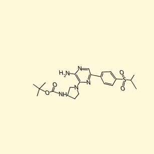 CC(C)S(=O)(=O)c1ccc(-c2cnc(N)c(N3CCC(NC(=O)OC(C)(C)C)C3)n2)cc1